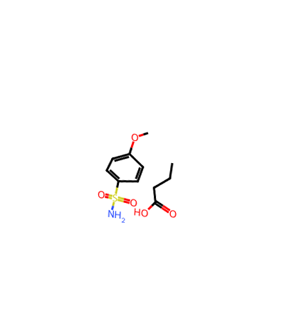 CCCC(=O)O.COc1ccc(S(N)(=O)=O)cc1